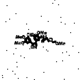 COCCOCCC(=O)Nc1cc(-c2cnoc2-c2cc(OC)c(OC)c(OC)c2)ccc1OC